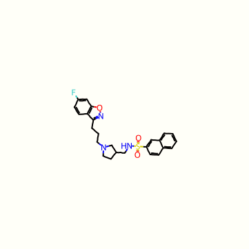 O=S(=O)(NCC1CCN(CCCc2noc3cc(F)ccc23)C1)c1ccc2ccccc2c1